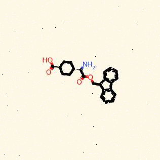 NC(C(=O)OCC1c2ccccc2-c2ccccc21)[C@H]1CC[C@H](C(=O)O)CC1